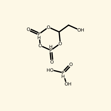 O=[PH](O)O.O=[PH]1OC(CO)O[PH](=O)O1